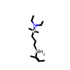 CC=C(C)[SiH2]CCC[Si](C)(C)N(CC)CC